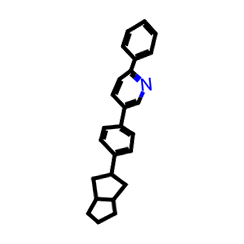 c1ccc(-c2ccc(-c3ccc(C4CC5CCCC5C4)cc3)cn2)cc1